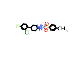 Cc1ccc(S(=O)(=O)NN=C2CCC(c3ccc(F)cc3Cl)CC2)cc1